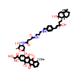 COc1cccc2c1C(=O)c1c(O)c3c(c(O)c1C2=O)C[C@@](O)(C(=O)CO)C[C@@H]3O[C@H]1C[C@H](NC(=O)CCC(=O)NCCCNCc2ccc(/C=C/[C@](C)(O)CC[C@@H]3[C@@]4(C)CCCC(C)(C)[C@@H]4CC[C@@]3(C)O)cc2)[C@H](O)[C@H](C)O1